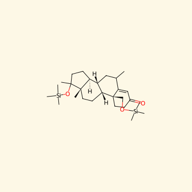 CC1C[C@@H]2[C@@H](CC[C@@]3(C)[C@H]2CCC3(C)O[Si](C)(C)C)[C@@]2(CO[Si](C)(C)C)CCC(=O)C=C12